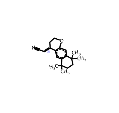 CC1(C)CCC(C)(C)c2cc3c(cc21)OCC/C3=C\C#N